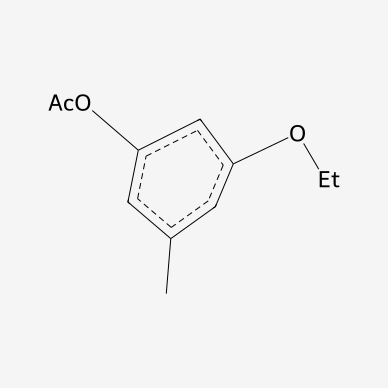 CCOc1cc(C)cc(OC(C)=O)c1